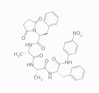 C[C@H](NC(=O)[C@H](C)NC(=O)[C@H](Cc1ccccc1)N1C(=O)CCC1=O)C(=O)N[C@@H](Cc1ccccc1)C(=O)Nc1ccc([N+](=O)[O-])cc1